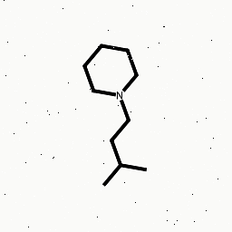 CC(C)CCN1CCCCC1